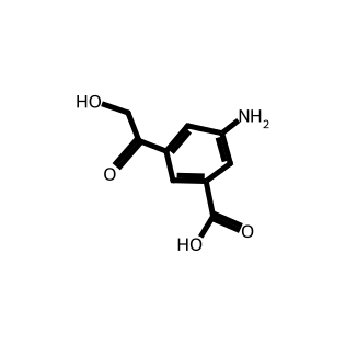 Nc1cc(C(=O)O)cc(C(=O)CO)c1